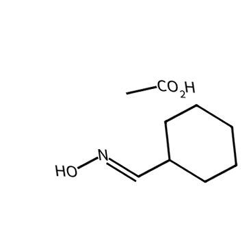 CC(=O)O.ON=CC1CCCCC1